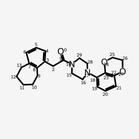 O=C(Cc1cccc2c1CCCCC2)N1CCN(c2cccc3c2OCCO3)CC1